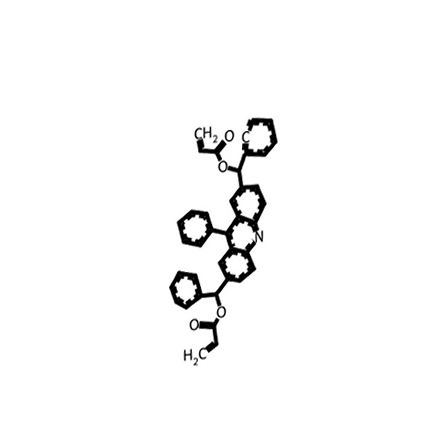 C=CC(=O)OC(c1ccccc1)c1ccc2nc3ccc(C(OC(=O)C=C)c4ccccc4)cc3c(-c3ccccc3)c2c1